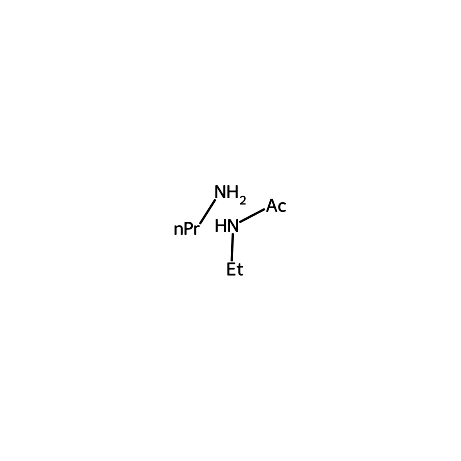 CCCN.CCNC(C)=O